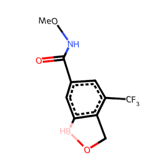 CONC(=O)c1cc2c(c(C(F)(F)F)c1)COB2